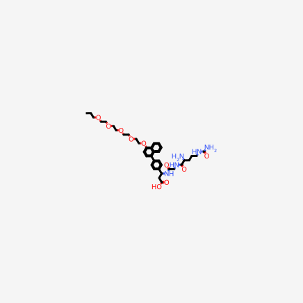 CCCOCCOCCOCCOCCOc1ccc(-c2ccc(C(CC(=O)O)NC(=O)CNC(=O)C(N)CCCNC(N)=O)cc2)c2ccccc12